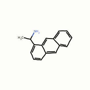 CC(N)c1cccc2cc3ccccc3cc12